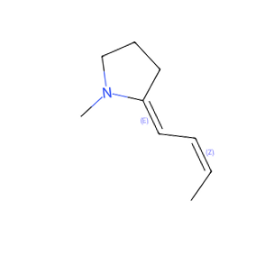 C/C=C\C=C1/CCCN1C